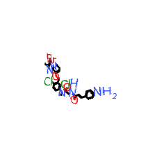 Cc1nc2c(OCc3c(Cl)ccc(N(C)C(=O)CNC(=O)C=Cc4ccc(N)cc4)c3Cl)cccn2c1Br